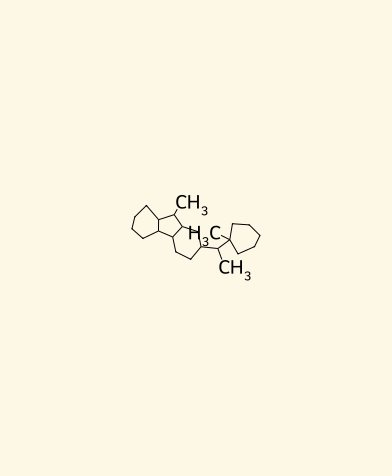 CC1C2CCCCC2C2CCC(C(C)C3(C)CCCCC3)CC12